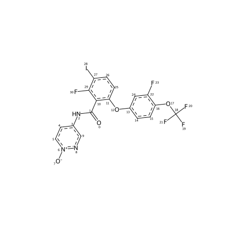 O=C(Nc1cc[n+]([O-])nc1)c1c(Oc2ccc(OC(F)(F)F)c(F)c2)ccc(I)c1F